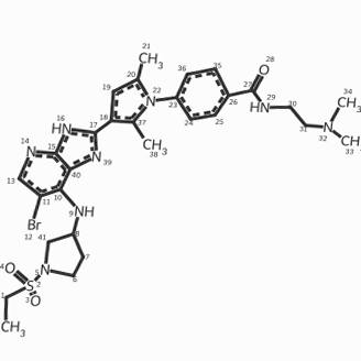 CCS(=O)(=O)N1CCC(Nc2c(Br)cnc3[nH]c(-c4cc(C)n(-c5ccc(C(=O)NCCN(C)C)cc5)c4C)nc23)C1